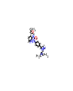 Cc1ccc(CN(C(=O)Nc2ccc(-c3cnn(CCN(C)C)c3)cc2)C2CCCC2)o1